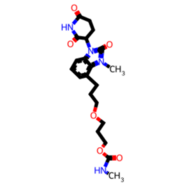 CNC(=O)OCCCOCCCc1cccc2c1n(C)c(=O)n2C1CCC(=O)NC1=O